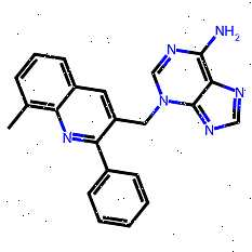 Cc1cccc2cc(Cn3cnc(N)c4ncnc3-4)c(-c3ccccc3)nc12